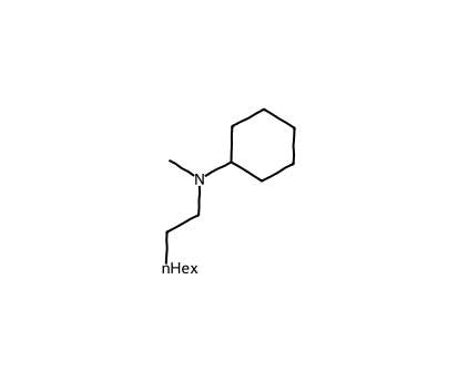 CCCCCCCCN(C)C1CCCCC1